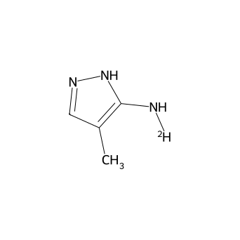 [2H]Nc1[nH]ncc1C